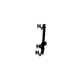 CCCCCCCCC=CCCCCCCCC(=O)OCC(O)COCCCC